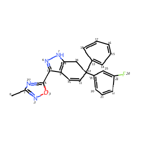 Cc1noc(-c2n[nH]c3c2C=CC(c2ccccc2)(c2cccc(F)c2)C3)n1